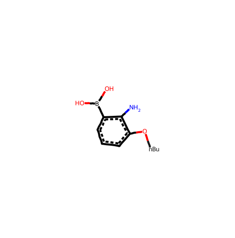 CCCCOc1cccc(B(O)O)c1N